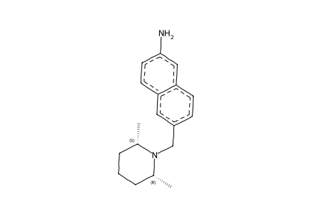 C[C@@H]1CCC[C@H](C)N1Cc1ccc2cc(N)ccc2c1